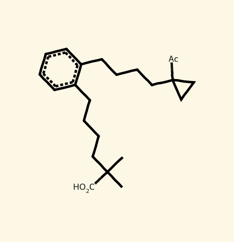 CC(=O)C1(CCCCc2ccccc2CCCCC(C)(C)C(=O)O)CC1